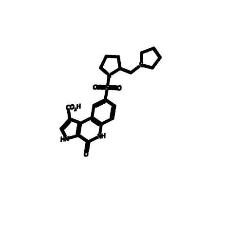 O=C(O)c1c[nH]c2c(=O)[nH]c3ccc(S(=O)(=O)N4CCCC4CN4CCCC4)cc3c12